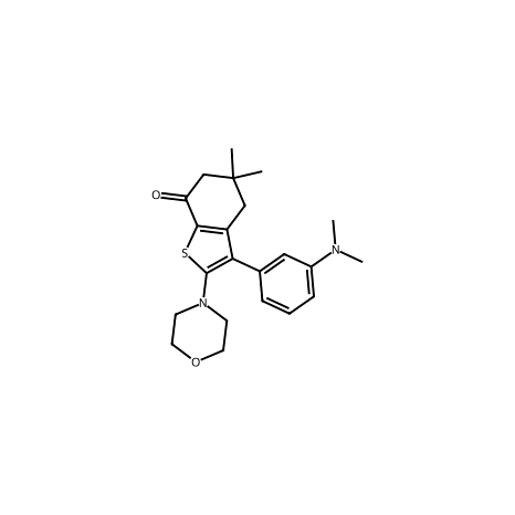 CN(C)c1cccc(-c2c(N3CCOCC3)sc3c2CC(C)(C)CC3=O)c1